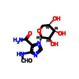 NC(=O)c1c(NC=O)ncn1[C@@H]1OC[C@H](O)[C@H](O)[C@H]1O